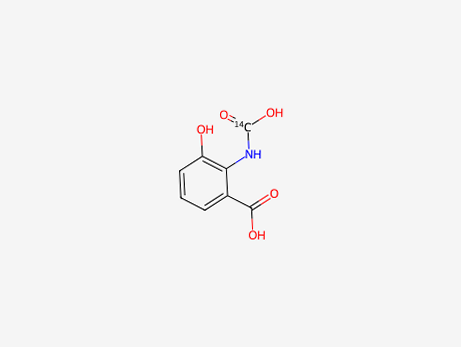 O=C(O)c1cccc(O)c1N[14C](=O)O